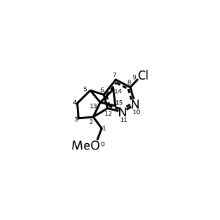 COCC12CCC(c3cc(Cl)nnc31)C21CC1